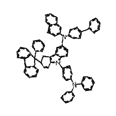 C1=CC(C2(c3ccccc3)c3ccccc3-c3ccccc32)Cc2c1n(-c1ccc(N(c3ccccc3)c3ccccc3)cc1)c1ccc(N(c3ccc(-c4ccccc4)cc3)c3ccc4ccccc4c3)cc21